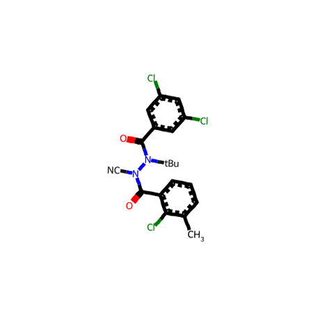 Cc1cccc(C(=O)N(C#N)N(C(=O)c2cc(Cl)cc(Cl)c2)C(C)(C)C)c1Cl